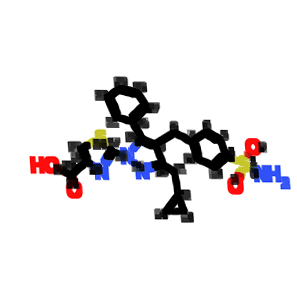 NS(=O)(=O)c1ccc(Cc2c(CC3CC3)nn(-c3nc(C(=O)O)cs3)c2-c2ccccc2)cc1